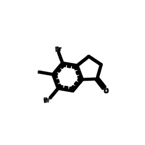 Cc1c(Br)cc2c(c1Br)CCC2=O